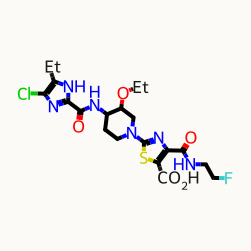 CCOC1CN(c2nc(C(=O)NCCF)c(C(=O)O)s2)CCC1NC(=O)c1nc(Cl)c(CC)[nH]1